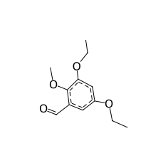 CCOc1cc(C=O)c(OC)c(OCC)c1